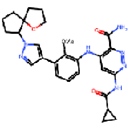 COc1c(Nc2cc(NC(=O)C3CC3)nnc2C(N)=O)cccc1-c1cnn(C2CCCC23CCCO3)c1